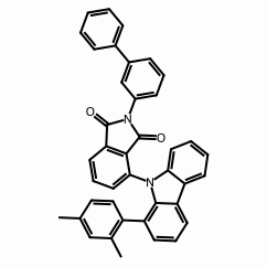 Cc1ccc(-c2cccc3c4ccccc4n(-c4cccc5c4C(=O)N(c4cccc(-c6ccccc6)c4)C5=O)c23)c(C)c1